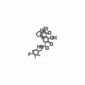 CCN1C(=O)c2c(O)c(=O)c(C(=O)NCc3ccc(F)c(C)c3C)cn2N2CCC[C@@H]12